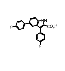 O=C(O)c1[nH]c2ccc(-c3ccc(F)cc3)cc2c1-c1ccc(F)cc1